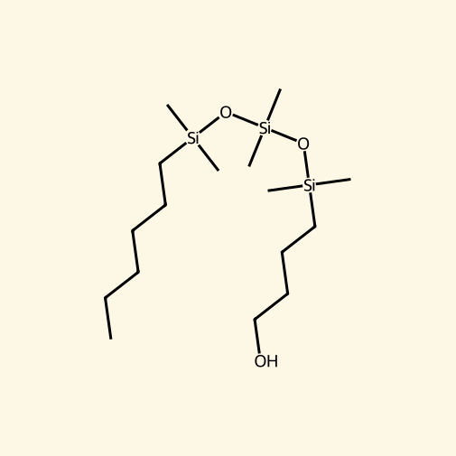 CCCCCC[Si](C)(C)O[Si](C)(C)O[Si](C)(C)CCCCO